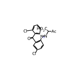 CC(=O)C(/N=N/c1ccc(Cl)cc1C(=O)c1ccccc1Cl)C(=O)O